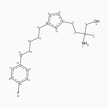 CC(N)(CO)CCc1ccc(CCCCOc2ccc(F)cc2)s1